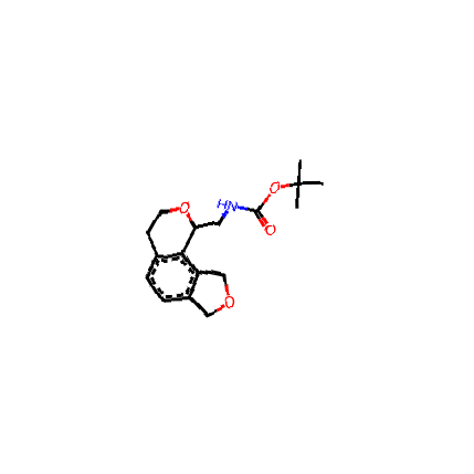 CC(C)(C)OC(=O)NCC1OCCc2ccc3c(c21)COC3